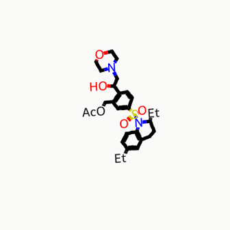 CCc1ccc2c(c1)CCC(CC)N2S(=O)(=O)c1ccc(C(O)CN2CCOCC2)c(COC(C)=O)c1